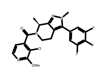 COc1nccc(C(=O)N2CCc3c(nn(C)c3-c3cc(F)c(F)c(F)c3)[C@@H]2C)c1Cl